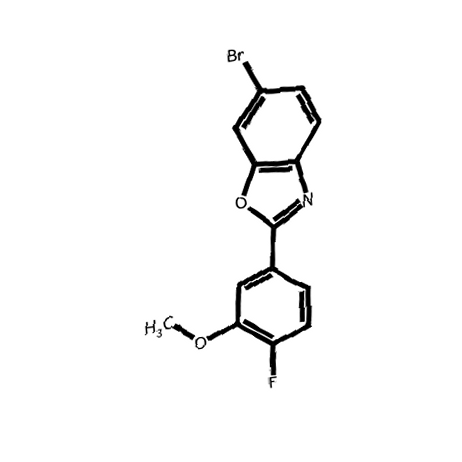 COc1cc(-c2nc3ccc(Br)cc3o2)ccc1F